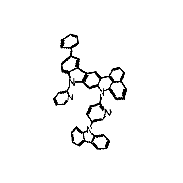 c1ccc(-c2ccc3c(c2)c2cc4c(cc2n3-c2ccccn2)N(c2ccc(-n3c5ccccc5c5ccccc53)cn2)c2cccc3cccc-4c23)cc1